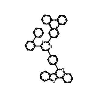 c1ccc(-c2ccccc2-c2cc(-c3ccc(-c4nc5ccccc5c5oc6ccccc6c45)cc3)nc(-c3ccc4c5ccccc5c5ccccc5c4c3)n2)cc1